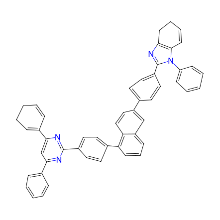 C1=CC(c2cc(-c3ccccc3)nc(-c3ccc(-c4cccc5cc(-c6ccc(-c7nc8c(n7-c7ccccc7)C=CCC8)cc6)ccc45)cc3)n2)=CCC1